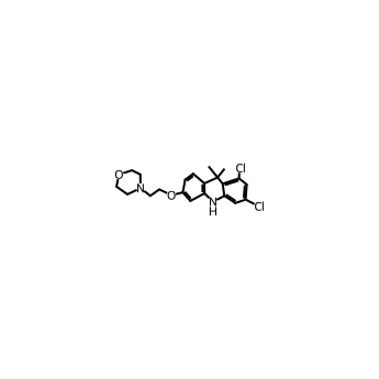 CC1(C)c2ccc(OCCN3CCOCC3)cc2Nc2cc(Cl)cc(Cl)c21